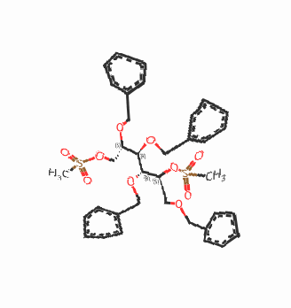 CS(=O)(=O)OC[C@H](OCc1ccccc1)[C@@H](OCc1ccccc1)[C@@H](OCc1ccccc1)[C@H](COCc1ccccc1)OS(C)(=O)=O